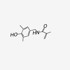 C=C(C)C(=O)NCc1cc(C)c(O)c(C)c1